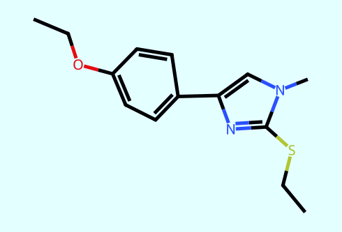 CCOc1ccc(-c2cn(C)c(SCC)n2)cc1